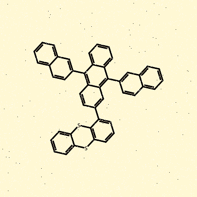 c1ccc2c(c1)Sc1cccc(-c3ccc4c(-c5ccc6ccccc6c5)c5ccccc5c(-c5ccc6ccccc6c5)c4c3)c1S2